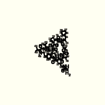 CC[C@H](C)[C@@H]([C@@H](CC(=O)N1CCC[C@H]1[C@H](OC)[C@@H](C)C(=O)N[C@H](C)Cc1ccccc1)OC)N(C)C(=O)[C@@H](NC(=O)[C@H](C(C)C)N(C)CCc1ccc(NC(=O)[C@H](CCCNC(N)=O)NC(=O)[C@@H](NC(=O)OC(C)(C)C)C(C)C)cc1)C(C)C